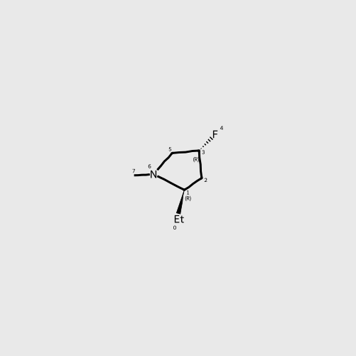 CC[C@@H]1C[C@@H](F)CN1C